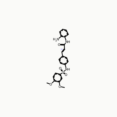 COc1ccc(S(=O)(=O)Nc2ccc(/C=C/C(=O)Nc3ccccc3N)cc2)cc1OC